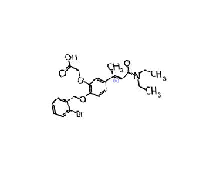 CCN(CC)C(=O)/C=C(\C)c1ccc(OCc2ccccc2Br)c(OCC(=O)O)c1